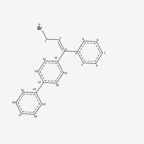 BrCC=C(c1ccccc1)c1ccc(-c2ccccc2)cc1